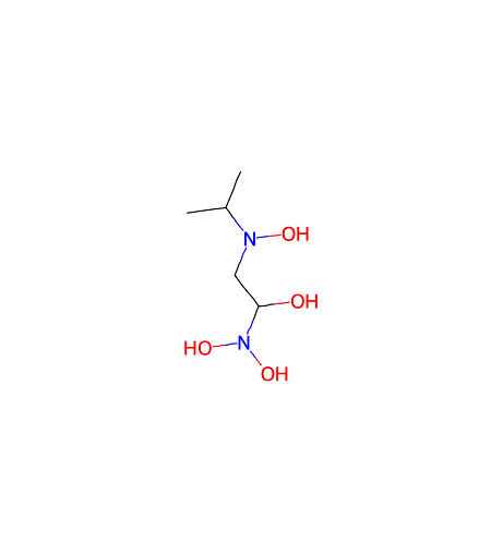 CC(C)N(O)CC(O)N(O)O